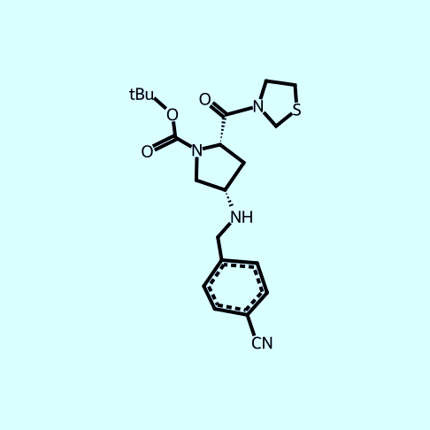 CC(C)(C)OC(=O)N1C[C@@H](NCc2ccc(C#N)cc2)C[C@H]1C(=O)N1CCSC1